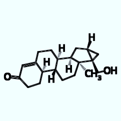 C[C@]12CC[C@H]3[C@@H](CCC4=CC(=O)CC[C@@H]43)[C@H]1C[C@@H]1C[C@@]12CO